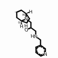 OC(CNCc1cccnc1)CN1[C@@H]2C[CH]C[C@H]1CC2